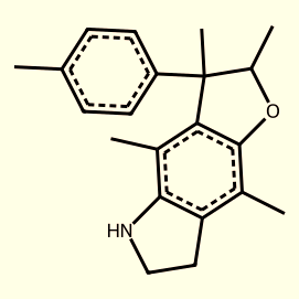 Cc1ccc(C2(C)c3c(C)c4c(c(C)c3OC2C)CCN4)cc1